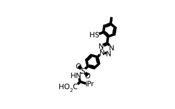 Cc1ccc(-c2nnn(-c3ccc(S(=O)(=O)NC(C(=O)O)C(C)C)cc3)n2)c(S)c1